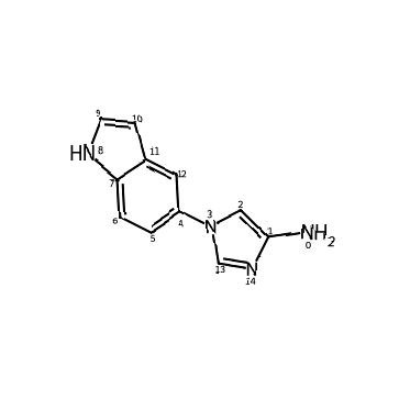 Nc1cn(-c2ccc3[nH]ccc3c2)cn1